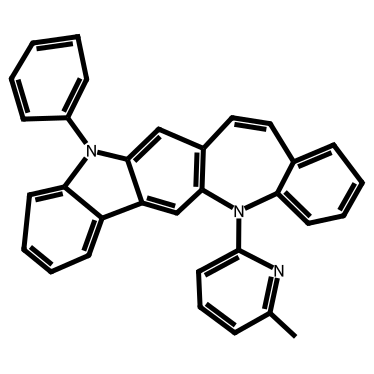 Cc1cccc(N2c3ccccc3C=Cc3cc4c(cc32)c2ccccc2n4-c2ccccc2)n1